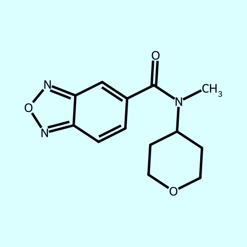 CN(C(=O)c1ccc2nonc2c1)C1CCOCC1